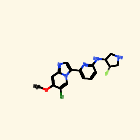 COc1cc2ncc(-c3cccc(N[C@H]4CNC[C@@H]4F)n3)n2cc1Cl